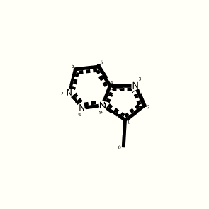 Cc1cnc2ccnnn12